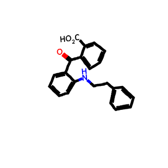 O=C(O)c1ccccc1C(=O)c1ccccc1NCCc1ccccc1